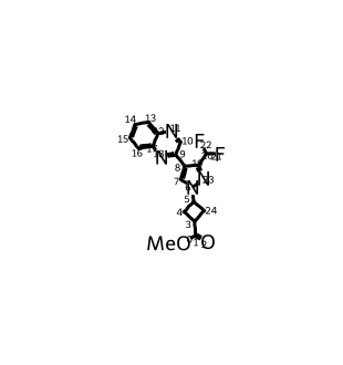 COC(=O)C1CC(n2cc(-c3cnc4ccccc4n3)c(C(F)F)n2)C1